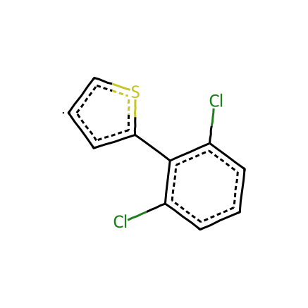 Clc1cccc(Cl)c1-c1c[c]cs1